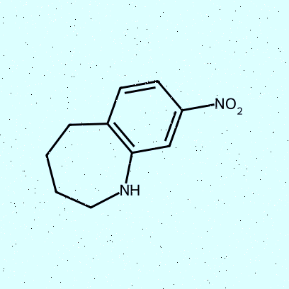 O=[N+]([O-])c1ccc2c(c1)NCCCC2